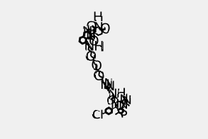 Cc1sc2c(c1C)C(c1ccc(Cl)cc1)=N[C@@H](CC(=O)NCc1cn(CCOCCOCCOCCNc3cccc4cnn(C5CCC(=O)NC5=O)c(=O)c34)nn1)c1nnc(C)n1-2